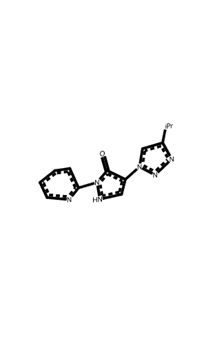 CC(C)c1cn(-c2c[nH]n(-c3ccccn3)c2=O)nn1